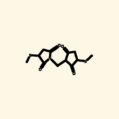 CSC1CC(=O)C(CN2C(=O)CC(SC)C2=O)C1=O